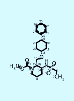 CCS(=O)(=O)N[C@H]1CCCN(C(=O)OC)[C@H]1CO[C@H]1CC[C@@H](c2ccccc2)CC1